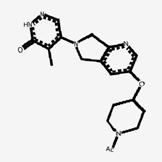 CC(=O)N1CCC(Oc2cnc3c(c2)CN(c2cn[nH]c(=O)c2C)C3)CC1